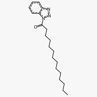 CCCCCCCCCCCCCC(=O)n1nnc2ccccc21